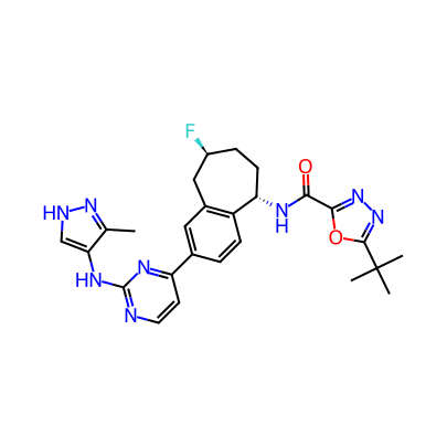 Cc1n[nH]cc1Nc1nccc(-c2ccc3c(c2)C[C@@H](F)CC[C@@H]3NC(=O)c2nnc(C(C)(C)C)o2)n1